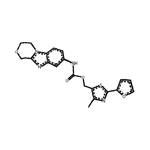 Cc1nc(-c2ccco2)sc1COC(=O)Nc1ccc2c(c1)nc1n2CCOC1